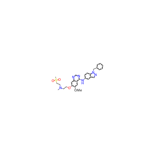 COc1cc2c(Nc3ccc4c(cnn4Cc4ccccc4)c3)ncnc2cc1OCCN(C)CCS(C)(=O)=O